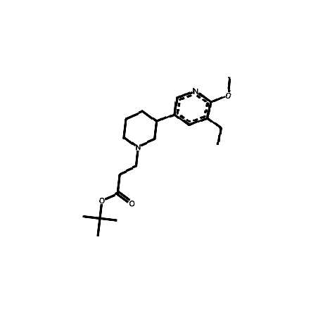 CCc1cc(C2CCCN(CCC(=O)OC(C)(C)C)C2)cnc1OC